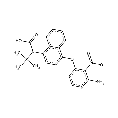 CC(C)(C)N(C(=O)O)c1ccc(Oc2ccnc(N)c2[N+](=O)[O-])c2ccccc12